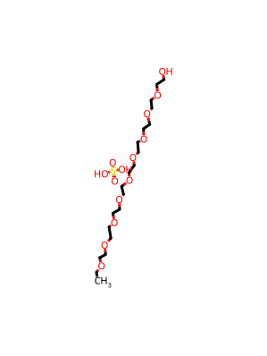 CCOCCOCCOCCOCCOCCOCCOCCOCCOCCO.O=S(=O)(O)O